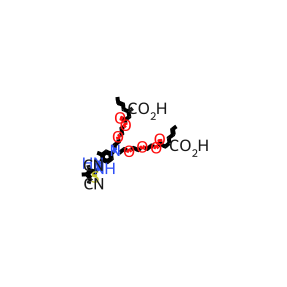 C/C=C/CC(CC(=O)OCCOCCOCCN(CCOCCOC(=O)CC(C/C=C/C)C(=O)O)c1ccc(NNc2sc(C#N)c(C)c2C#N)c(C)c1)C(=O)O